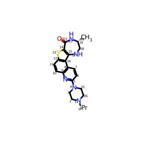 CC(C)N1CCN(c2ccc3c(ccc4sc5c(c43)NC[C@@H](C)NC5=O)n2)CC1